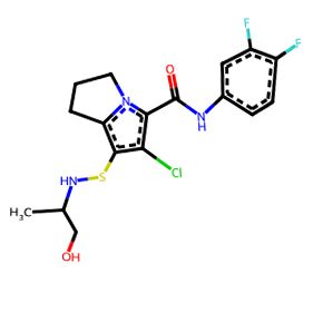 CC(CO)NSc1c(Cl)c(C(=O)Nc2ccc(F)c(F)c2)n2c1CCC2